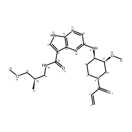 C=CC(=O)N1CC[C@@H](Nc2cnc3[nH]cc(C(=O)NC[C@@H](C)COC)c3n2)[C@@H](OC)C1